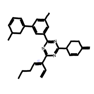 C=C/C(=C\CCC)c1nc(-c2cc(C)cc(C3=CC=CC(C)C3)c2)nc(C2C=CC(=C)CC2)n1